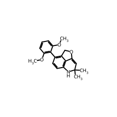 COc1cccc(OC)c1-c1ccc2c3c1COC3=CC(C)(C)N2